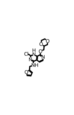 ClC1N=C(NCc2ccco2)c2ccnc(OCC3COCCO3)c2N1